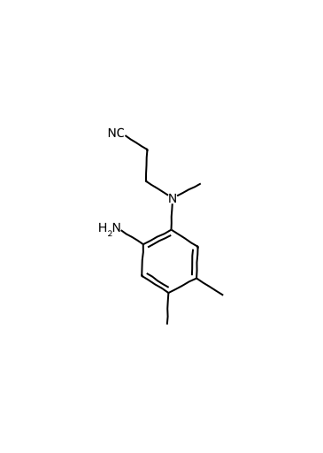 Cc1cc(N)c(N(C)CCC#N)cc1C